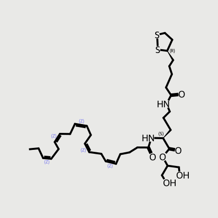 CC/C=C\C/C=C\C/C=C\C/C=C\C/C=C\CCCC(=O)N[C@@H](CCCNC(=O)CCCC[C@@H]1CCSS1)C(=O)OC(CO)CO